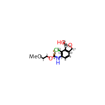 COCCOC(=S)Nc1ccc2c(c1Cl)B(O)OC2